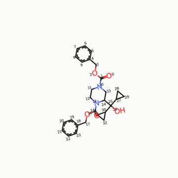 O=C(OCc1ccccc1)N1CCN(C(=O)OCc2ccccc2)C(C(O)(C2CC2)C2CC2)C1